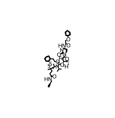 [2H]C[C@H]1O[C@@H](n2ccc(NC(=O)COc3ccccc3)nc2=O)[C@@H](F)C1OP(OCCc1ccccc1SSC(C)(C)CCC(=O)NCC#C)N(C(C)C)C(C)C